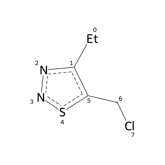 CCc1nnsc1CCl